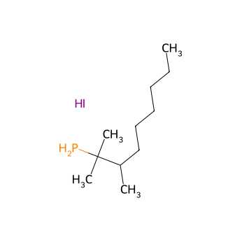 CCCCCCC(C)C(C)(C)P.I